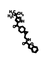 CC(C)(C)c1cc(C(=O)N2CCC3(CC2)CC3CNC(=O)c2cc3ccccc3o2)[nH]n1